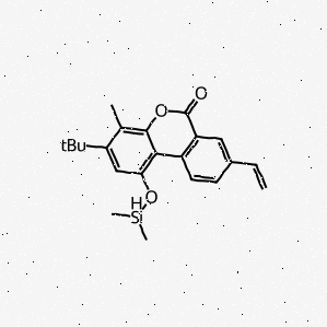 C=Cc1ccc2c(c1)c(=O)oc1c(C)c(C(C)(C)C)cc(O[SiH](C)C)c12